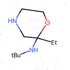 CCC1(NC(C)(C)C)CNCCO1